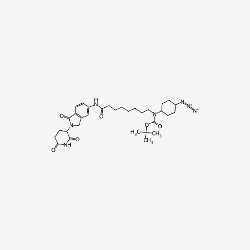 CC(C)(C)OC(=O)N(CCCCCCCC(=O)Nc1ccc2c(c1)CN(C1CCC(=O)NC1=O)C2=O)C1CCC(N=[N+]=[N-])CC1